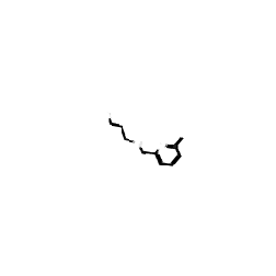 Cc1cccc(CNCCCN)n1